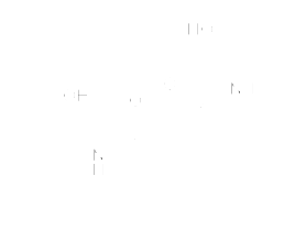 CC(O)NC(=O)C1CCCCC1C(=O)NC(C)O